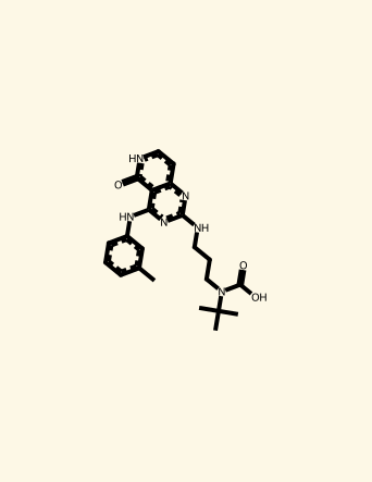 Cc1cccc(Nc2nc(NCCCN(C(=O)O)C(C)(C)C)nc3cc[nH]c(=O)c23)c1